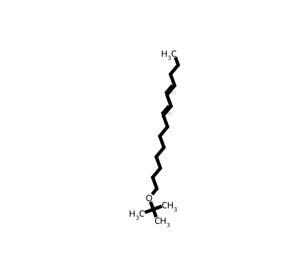 CCC/C=C/C=C/CCCCCCCOC(C)(C)C